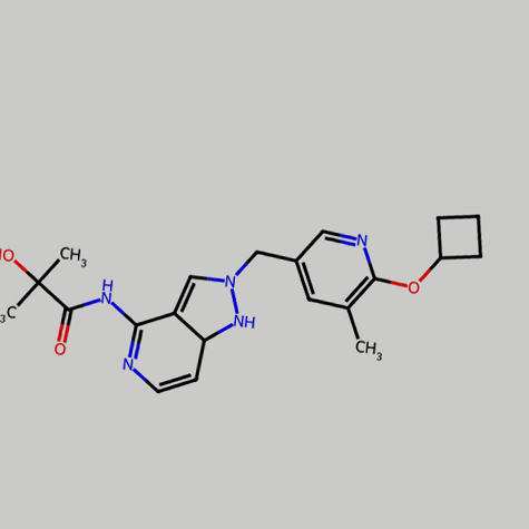 Cc1cc(CN2C=C3C(NC(=O)C(C)(C)O)=NC=CC3N2)cnc1OC1CCC1